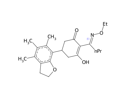 CCC/C(=N\OCC)C1=C(O)CC(c2c(C)c(C)c(C)c3c2OCC3)CC1=O